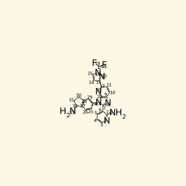 Nc1ncccc1-c1nc2ccc(-c3ccn(C(F)F)n3)nc2n1-c1ccc2c(c1)CC[C@@H]2N